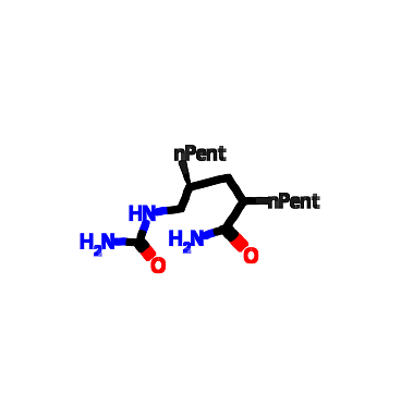 CCCCCC(C[C@H](CCCCC)CNC(N)=O)C(N)=O